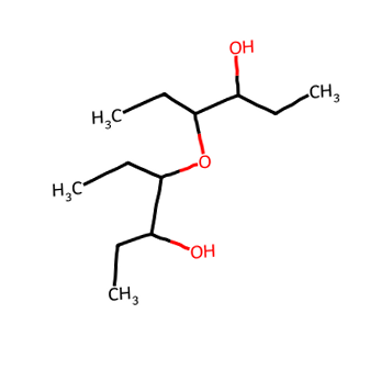 CCC(O)C(CC)OC(CC)C(O)CC